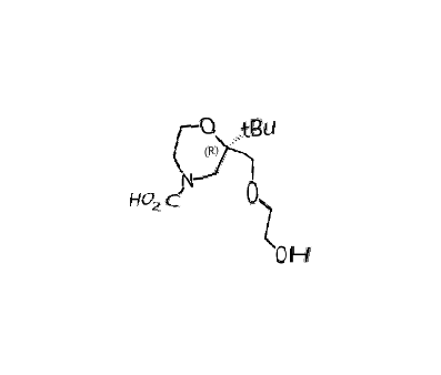 CC(C)(C)[C@]1(COCCO)CN(C(=O)O)CCO1